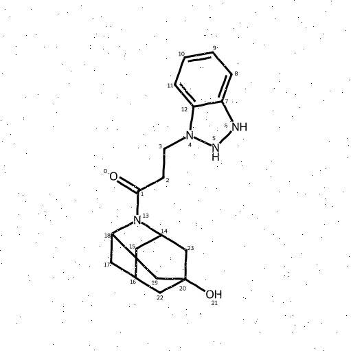 O=C(CCN1NNc2ccccc21)N1C2CC3CC1CC(O)(C3)C2